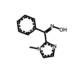 Cn1ccnc1C(=NO)c1ccccc1